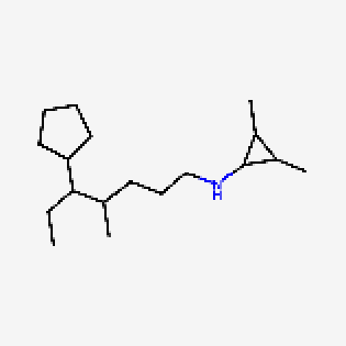 CCC(C(C)CCCNC1C(C)C1C)C1CCCC1